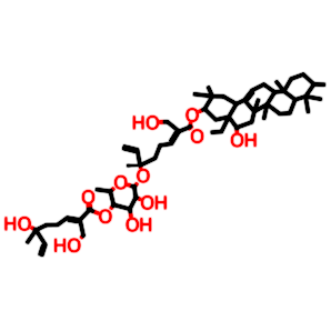 C=CC(C)(O)CC/C=C(\CO)C(=O)OC1C(C)OC(O[C@](C)(C=C)CC/C=C(\CO)C(=O)OC2CC3(CC)C(O)CC4(C)C(=CCC5C6(C)CCC(C)C(C)(C)C6CCC54C)C3CC2(C)C)C(O)C1O